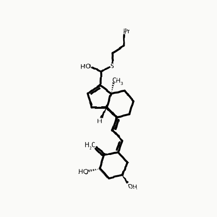 C=C1/C(=C\C=C2/CCC[C@]3(C)C(C(O)SCCC(C)C)=CC[C@@H]23)C[C@@H](O)C[C@@H]1O